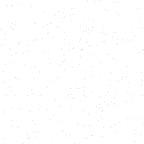 CCc1cc(-c2cnc(S)n2-c2ccc(N(C)C)c(OC)c2)c(O)cc1O